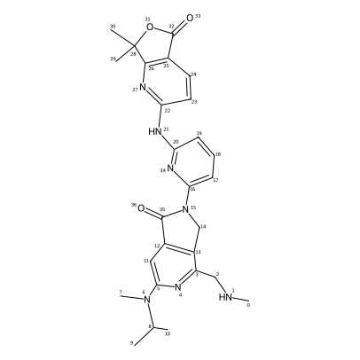 CNCc1nc(N(C)C(C)C)cc2c1CN(c1cccc(Nc3ccc4c(n3)C(C)(C)OC4=O)n1)C2=O